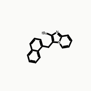 CC(C)(C)c1nc2ccccn2c1Cc1cccc2ccccc12